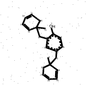 CC1(Cc2ccc(O)c(CC3(C)C=CC=CC3)c2)C=CC=CC1